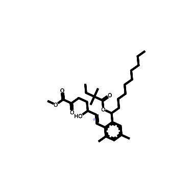 CCCCCCCCCC(OC(=O)C(C)(C)CC)c1cc(C)cc(C)c1/C=C/C(O)CCC(=O)C(=O)OC